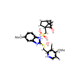 COc1ccc2c(c1)nc([S@@+]([O-])Cc1ncc(C)c(OC)c1C)n2S(=O)(=O)CC12CCC(CC1=O)C2(C)C